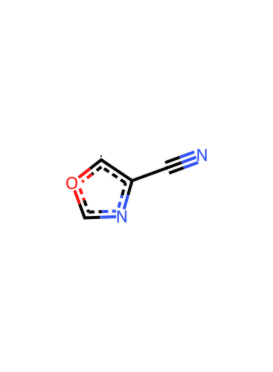 N#Cc1[c]ocn1